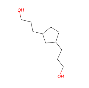 OCCCC1CCC(CCCO)C1